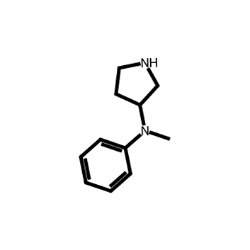 CN(c1ccccc1)C1CCNC1